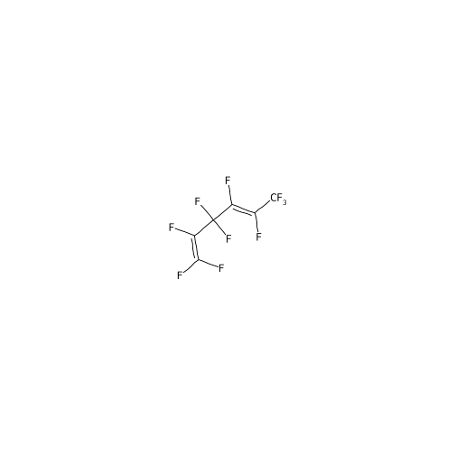 FC(F)=C(F)C(F)(F)C(F)=C(F)C(F)(F)F